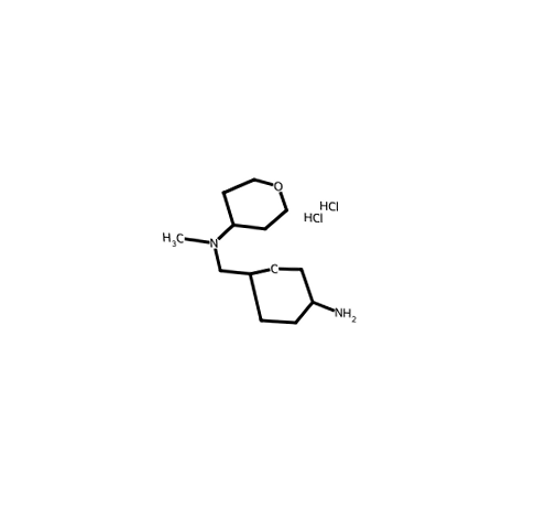 CN(CC1CCC(N)CC1)C1CCOCC1.Cl.Cl